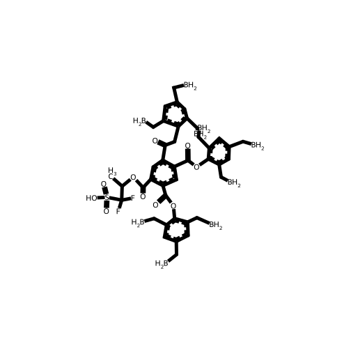 BCc1cc(CB)c(CC(=O)c2cc(C(=O)OC(C)C(F)(F)S(=O)(=O)O)c(C(=O)Oc3c(CB)cc(CB)cc3CB)cc2C(=O)Oc2c(CB)cc(CB)cc2CB)c(CB)c1